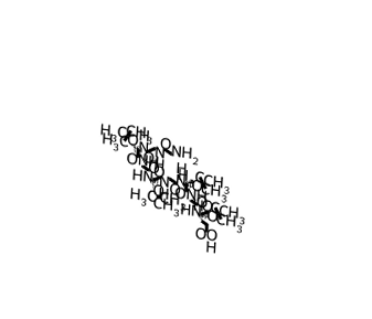 CC(C)(C)OC[C@H](NC(=O)CNC(=O)CN)C(=O)NCC(=O)N[C@@H](COC(C)(C)C)C(=O)NCC(=O)N[C@@H](COC(C)(C)C)C(=O)NCC(=O)N[C@@H](CCC(=O)O)C(=O)OC(C)(C)C